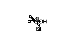 Cc1cc(C)n(CCCOC[C@]2(CO)CO[C@H](c3nc(-c4ccccc4)c(-c4ccccc4)[nH]3)OC2)n1